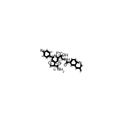 Cc1cnc2ccc(C(=O)NCC(O)(c3cc4c(c(-c5ccc(F)cc5)n3)OC[C@]4(C)C(N)=O)C(F)(F)F)cc2c1